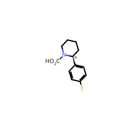 O=C(O)N1CCCC[C@H]1c1ccc(F)cc1